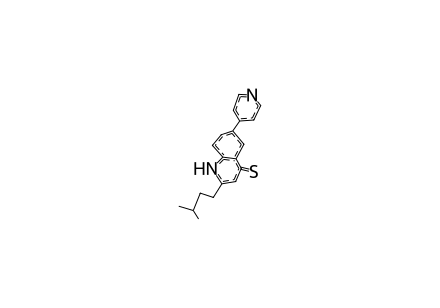 CC(C)CCc1cc(=S)c2cc(-c3ccncc3)ccc2[nH]1